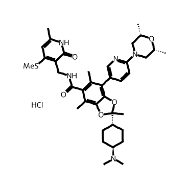 CSc1cc(C)[nH]c(=O)c1CNC(=O)c1c(C)c2c(c(-c3ccc(N4C[C@@H](C)O[C@@H](C)C4)nc3)c1C)OC(C)([C@H]1CC[C@H](N(C)C)CC1)O2.Cl